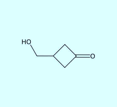 O=C1CC(CO)C1